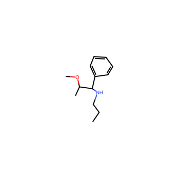 CCCNC(c1ccccc1)C(C)OC